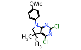 COc1ccc(N2CC(C)(C)c3c(Cl)nc(Cl)nc32)cc1